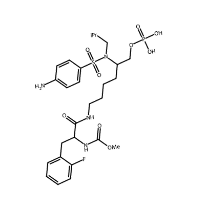 COC(=O)NC(Cc1ccccc1F)C(=O)NCCCCC(COP(=O)(O)O)N(CC(C)C)S(=O)(=O)c1ccc(N)cc1